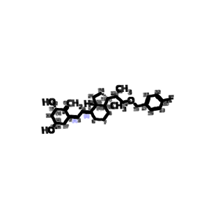 C=C1/C(=C\C=C2/CCC[C@]3(C)[C@@H]([C@H](C)COCc4ccc(F)cc4)CC[C@@H]23)C[C@@H](O)C[C@@H]1O